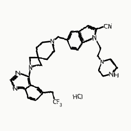 Cl.N#Cc1cc2cc(CN3CCC4(CC3)CN(c3ncnc5ccc(CC(F)(F)F)cc35)C4)ccc2n1CCN1CCNCC1